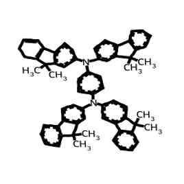 CC1(C)C2=C(C=CCC2)c2ccc(N(c3ccc(N(c4ccc5c(c4)-c4ccccc4C5(C)C)c4ccc5c(c4)C(C)(C)c4ccccc4-5)cc3)c3ccc4c(c3)C(C)(C)c3ccccc3-4)cc21